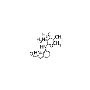 CC(C)C(C)[C@H](N)C(=O)Nc1cccc2cc(C=O)[nH]c12